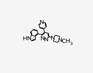 CN1CCN(c2cc(-c3ccncc3)c(-c3cccc4[nH]ccc34)nn2)CC1